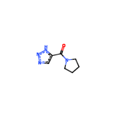 O=C(c1cnn[nH]1)N1CCCC1